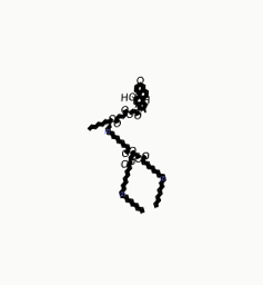 CCCCCCCC/C=C\CCCCCCCC(=O)OCC(COC(=O)CCCCCCC/C=C\CCCCCCCC)OC(=O)CCCCCCC/C=C\C[C@@H](CCCCCC)OC(=O)CCC(=O)OCC(=O)[C@H]1[C@H](C)CC2[C@@H]3CCC4=CC(=O)C=C[C@]4(C)C3[C@@H](O)C[C@@]21C